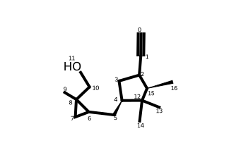 C#CC1C[C@H](CC2CC2(C)CO)C(C)(C)[C@@H]1C